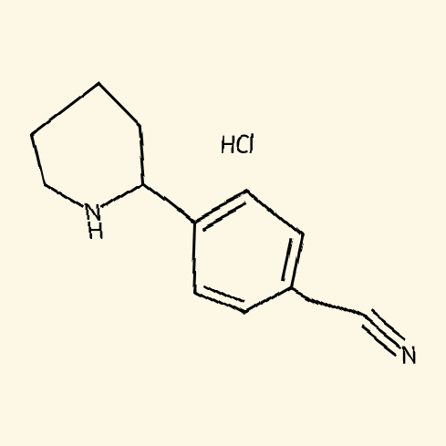 Cl.N#Cc1ccc(C2CCCCN2)cc1